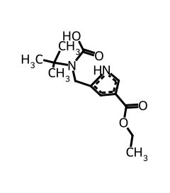 CCOC(=O)c1c[nH]c(CN(C(=O)O)C(C)(C)C)c1